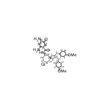 COc1ccc(CCC[N+]2(CCCc3ccc(OC)cc3)CCCCC(NC(=O)c3nc(Cl)c(N)nc3N)C2)cc1.[Cl-]